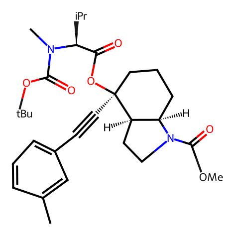 COC(=O)N1CC[C@@H]2[C@H]1CCC[C@]2(C#Cc1cccc(C)c1)OC(=O)[C@H](C(C)C)N(C)C(=O)OC(C)(C)C